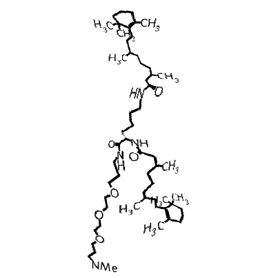 CNCCCOCCOCCOCCCNC(=O)[C@H](CCCCNC(=O)CC(C)CCCC(C)CCC1=C(C)CCCC1(C)C)NC(=O)CC(C)CCCC(C)CCC1=C(C)CCCC1(C)C